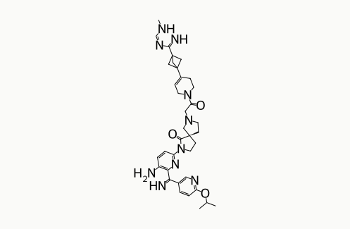 CN/C=N\C(=N)C12CC(C3=CCN(C(=O)CN4CC[C@]5(CCN(c6ccc(N)c(C(=N)c7ccc(OC(C)C)nc7)n6)C5=O)C4)CC3)(C1)C2